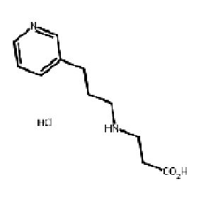 Cl.O=C(O)CCNCCCc1cccnc1